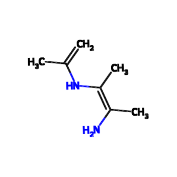 C=C(C)N/C(C)=C(/C)N